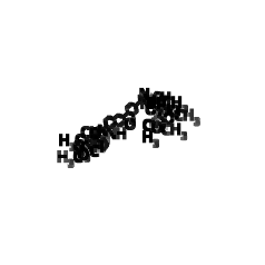 COC(=O)N[C@H](C(=O)N1[C@@H](C)CC[C@H]1c1nc2ccc3cc4c(cc3c2[nH]1)OCc1cc(-c2cnc([C@@H]3CC[C@H](C)N3C(=O)[C@H](NC(=O)OC)[C@H]3C[C@@H](C)O[C@@H](C)C3)[nH]2)ccc1-4)C(C)C